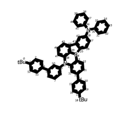 CC(C)(C)c1ccc(-c2cccc(N3c4cc(-c5ccc(C(C)(C)C)cc5)ccc4B4c5ccc(N(c6ccccc6)c6ccccc6)cc5-c5cccc3c54)c2)cc1